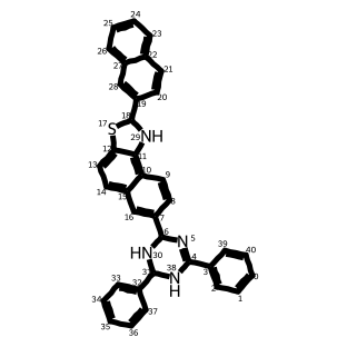 c1ccc(C2=NC(c3ccc4c5c(ccc4c3)SC(c3ccc4ccccc4c3)N5)NC(c3ccccc3)N2)cc1